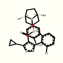 O=C(O)c1ccc(N2[C@@H]3CC[C@H]2C[C@H](OC(=O)c2c(-c4c(Cl)cccc4Cl)noc2C2CC2)C3)cc1